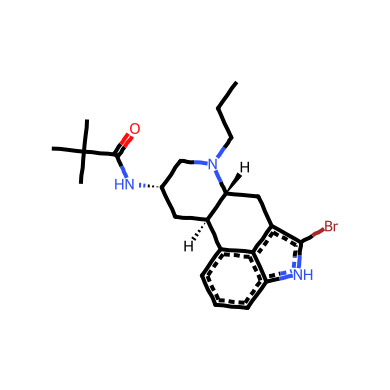 CCCN1C[C@@H](NC(=O)C(C)(C)C)C[C@@H]2c3cccc4[nH]c(Br)c(c34)C[C@H]21